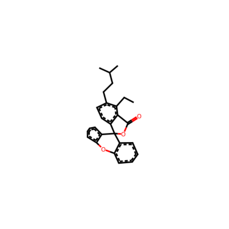 CCc1c(CCC(C)C)ccc2c1C(=O)OC21c2ccccc2Oc2ccccc21